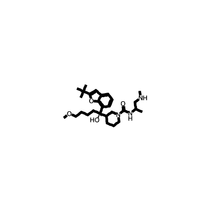 CNCC(C)NC(=O)N1CCCC([C@@](O)(CCCCOC)c2cccc3cc(C(C)(C)C)oc23)C1